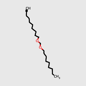 C#CCCCCCCCCOCOCCCCCCCCC